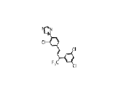 FC(F)(F)C(/C=C/c1ccc(-n2cncn2)c(Cl)c1)c1cc(Cl)cc(Cl)c1